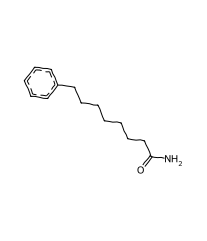 NC(=O)CCCCCCCc1ccccc1